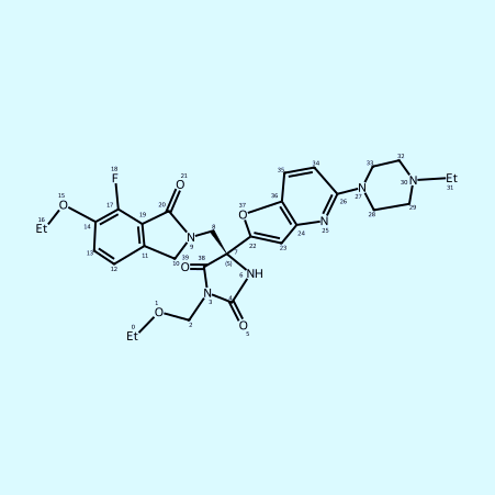 CCOCN1C(=O)N[C@@](CN2Cc3ccc(OCC)c(F)c3C2=O)(c2cc3nc(N4CCN(CC)CC4)ccc3o2)C1=O